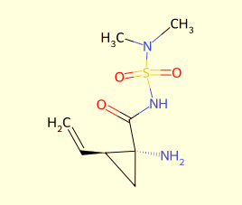 C=C[C@@H]1C[C@]1(N)C(=O)NS(=O)(=O)N(C)C